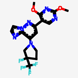 COc1ncc(-c2cc(N3CCC(F)(C(F)(F)F)C3)c3nccn3n2)c(OC)n1